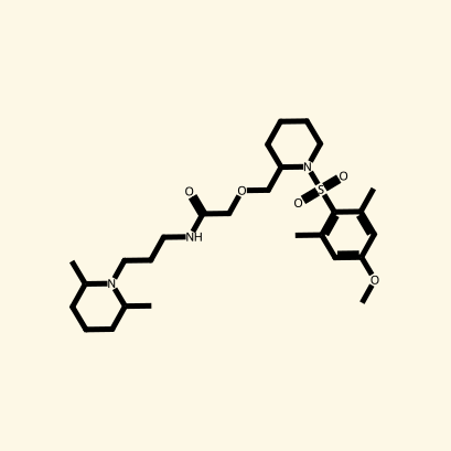 COc1cc(C)c(S(=O)(=O)N2CCCCC2COCC(=O)NCCCN2C(C)CCCC2C)c(C)c1